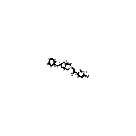 O=C(CN1C[C@@H]2C[C@@](O)(Cc3ccccc3)C[C@@H]2C1)c1ccc(=O)[nH]n1